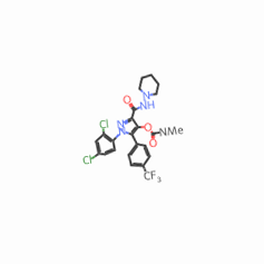 CNC(=O)Oc1c(C(=O)NN2CCCCC2)nn(-c2ccc(Cl)cc2Cl)c1-c1ccc(C(F)(F)F)cc1